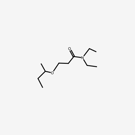 CCC(C)OCCC(=O)N(CC)CC